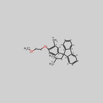 COCCOc1ccc(C2(CC(C)C)c3ccccc3-c3ccccc32)cc1C